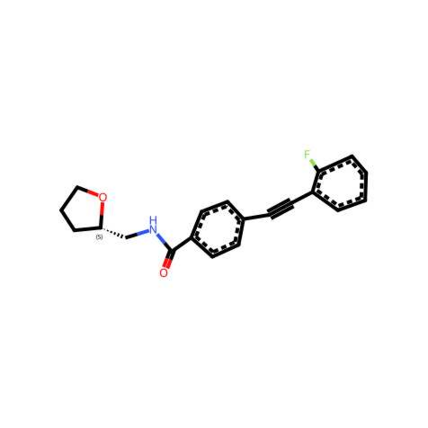 O=C(NC[C@@H]1CCCO1)c1ccc(C#Cc2ccccc2F)cc1